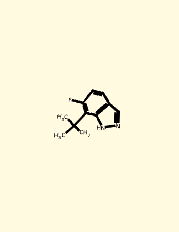 CC(C)(C)c1c(F)ccc2cn[nH]c12